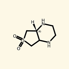 O=S1(=O)CC2NCCN[C@H]2C1